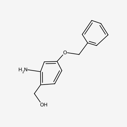 Nc1cc(OCc2ccccc2)ccc1CO